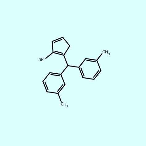 CCCC1=C(C(c2cccc(C)c2)c2cccc(C)c2)CC=C1